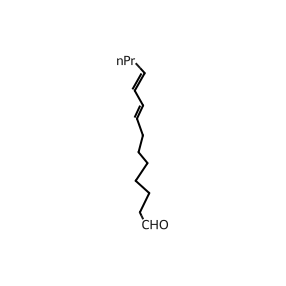 CCCC=CC=CCCCCCCC=O